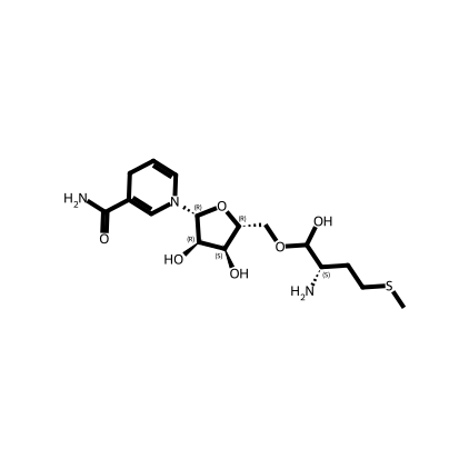 CSCC[C@H](N)C(O)OC[C@H]1O[C@@H](N2C=CCC(C(N)=O)=C2)[C@H](O)[C@@H]1O